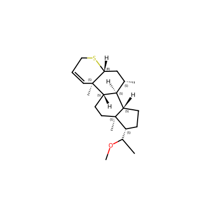 COC(C)[C@H]1CC[C@H]2[C@@H]3[C@@H](C)C[C@H]4SCC=C[C@]4(C)[C@H]3CC[C@]12C